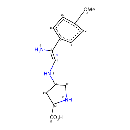 COc1ccc(/C(N)=C/NC2CNC(C(=O)O)C2)cc1